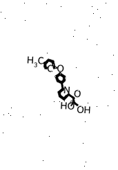 Cc1ccc(Oc2ccc(-c3cccc(C(=O)[C@H](O)CO)n3)cc2)cc1